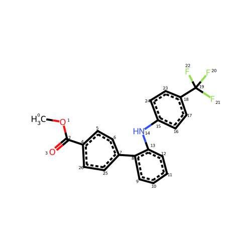 COC(=O)c1ccc(-c2ccccc2Nc2ccc(C(F)(F)F)cc2)cc1